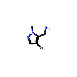 Cn1ncc(C(F)(F)F)c1CN